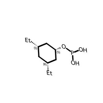 CC[C@@H]1C[C@H](CC)C[C@H](OP(O)O)C1